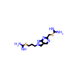 N=C(N)SCCCn1cc2cnc(CSC(=N)N)nc2n1